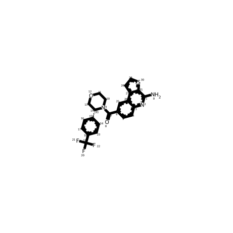 Nc1nc2ccc(C(=O)N3CCOC[C@H]3c3ccc(C(F)(F)F)cc3)cc2c2ccsc12